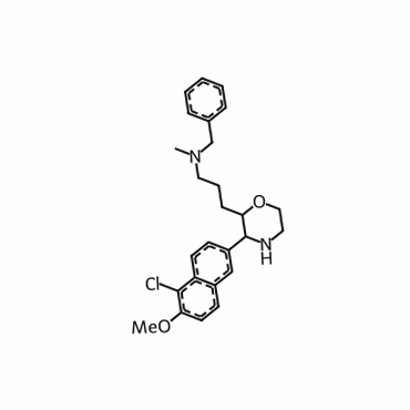 COc1ccc2cc(C3NCCOC3CCCN(C)Cc3ccccc3)ccc2c1Cl